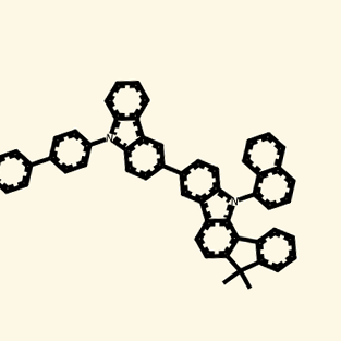 CC1(C)c2ccccc2-c2c1ccc1c3cc(-c4ccc5c(c4)c4ccccc4n5-c4ccc(-c5ccccc5)cc4)ccc3n(-c3cccc4ccccc34)c21